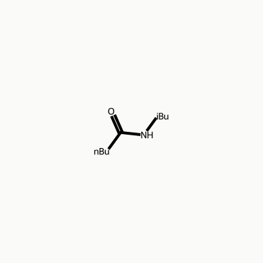 CCCCC(=O)NC(C)CC